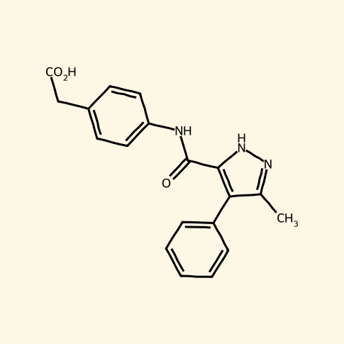 Cc1n[nH]c(C(=O)Nc2ccc(CC(=O)O)cc2)c1-c1ccccc1